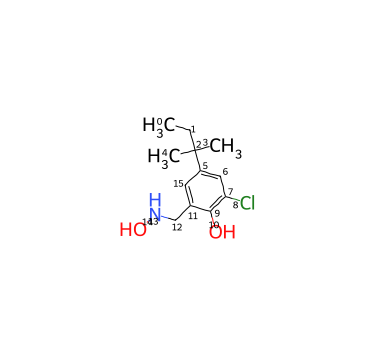 CCC(C)(C)c1cc(Cl)c(O)c(CNO)c1